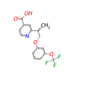 C=C(COc1cccc(OC(F)(F)F)c1)c1cc(C(=O)O)ccn1